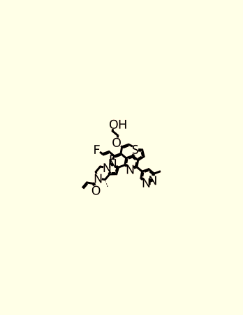 C=CC(=O)N1CCn2nc(-c3nc(-c4cnnc(C)c4)c4ccsc4c3C(/C(=C\C)OCCO)=C(F)/C=C/F)cc2[C@@H]1C